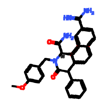 COc1ccc(CN(C(=O)C(c2ccccc2)c2ccccc2)[C@H](Cc2cccc(C(=N)N)c2)C(N)=O)cc1